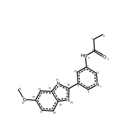 CCC(=O)Nc1cncc(-c2nc3cc(OC)ccc3s2)c1